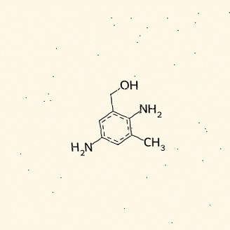 Cc1cc(N)cc(CO)c1N